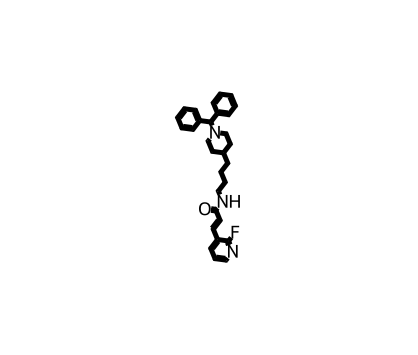 O=C(C=Cc1cccnc1F)NCCCCC1CCN(C(c2ccccc2)c2ccccc2)CC1